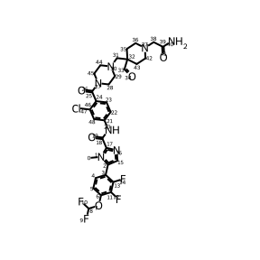 Cn1c(-c2ccc(OC(F)F)c(F)c2F)cnc1C(=O)Nc1ccc(C(=O)N2CCN(CC3(C=O)CCN(CC(N)=O)CC3)CC2)c(Cl)c1